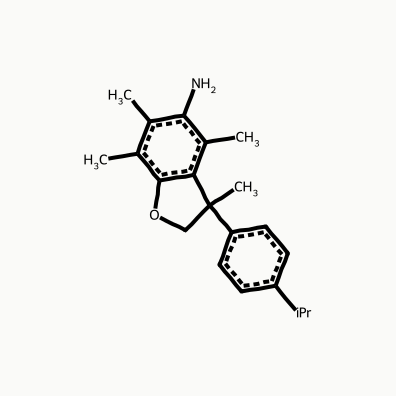 Cc1c(C)c2c(c(C)c1N)C(C)(c1ccc(C(C)C)cc1)CO2